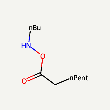 CCCCCCC(=O)ONCCCC